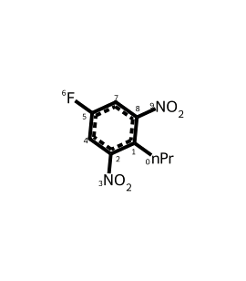 CCCc1c([N+](=O)[O-])cc(F)cc1[N+](=O)[O-]